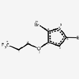 FC(F)(F)CCOc1cc(Br)sc1Br